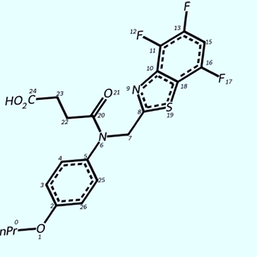 CCCOc1ccc(N(Cc2nc3c(F)c(F)cc(F)c3s2)C(=O)CCC(=O)O)cc1